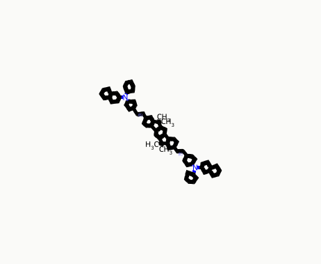 CC1(C)c2cc(/C=C/c3ccc(N(c4ccccc4)c4ccc5ccccc5c4)cc3)ccc2-c2cc3c(cc21)-c1ccc(/C=C/c2ccc(N(c4ccccc4)c4ccc5ccccc5c4)cc2)cc1C3(C)C